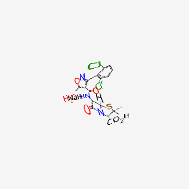 Cc1onc(-c2c(Cl)cccc2Cl)c1C(=O)N[C@@H]1C(=O)N2[C@@H]1SC(C)(C)[C@@H]2C(=O)O.O.[NaH]